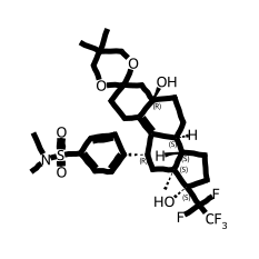 CN(C)S(=O)(=O)c1ccc([C@H]2C[C@@]3(C)[C@@H](CC[C@@]3(O)C(F)(F)C(F)(F)F)[C@@H]3CC[C@@]4(O)CC5(CCC4=C32)OCC(C)(C)CO5)cc1